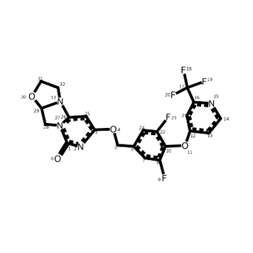 O=c1nc(OCc2cc(F)c(Oc3ccnc(C(F)(F)F)c3)c(F)c2)cc2n1CC1OCCN21